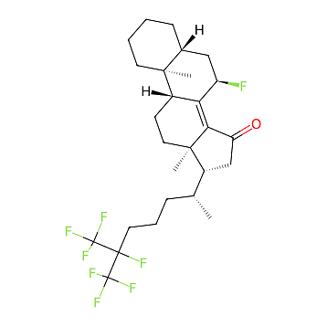 C[C@H](CCCC(F)(C(F)(F)F)C(F)(F)F)[C@H]1CC(=O)C2=C3[C@H](F)C[C@H]4CCCC[C@]4(C)[C@H]3CC[C@@]21C